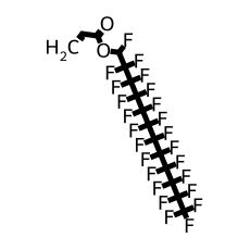 C=CC(=O)OC(F)C(F)(F)C(F)(F)C(F)(F)C(F)(F)C(F)(F)C(F)(F)C(F)(F)C(F)(F)C(F)(F)C(F)(F)C(F)(F)F